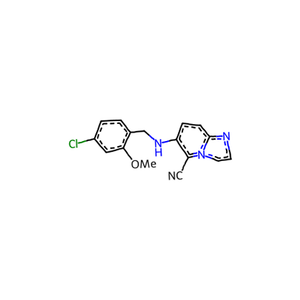 COc1cc(Cl)ccc1CNc1ccc2nccn2c1C#N